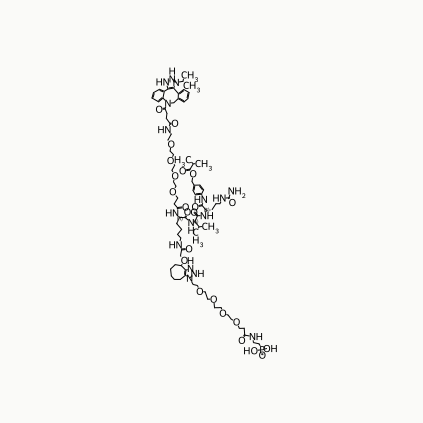 CC(C)C(=O)OCc1ccc(NC(=O)[C@H](CCCNC(N)=O)NC(=O)[C@@H](NC(=O)[C@@H](CCCCNC(=O)COC2CCCCCC3=C2NNN3CCOCCOCCOCCOCCC(=O)NCCP(=O)(O)O)NC(=O)CCOCCOCCOCCOCCNC(=O)CCC(=O)N2Cc3ccccc3C3=C(NNN3C(C)C)c3ccccc32)C(C)C)cc1